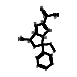 CCC1(c2ccccc2)CC(O)c2nc(C(=O)O)nn21